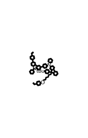 C=Cc1ccc(OCCCCCCC2(c3ccc(C(C)(C)C)cc3)c3ccccc3-c3ccc(N(c4ccccc4)c4ccc(-c5ccc6c(c5)c5cc(-c7ccc(C=C)cc7)ccc5n6-c5ccccc5)cc4)cc32)cc1